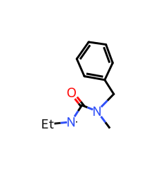 CC[N]C(=O)N(C)Cc1ccccc1